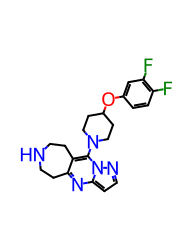 Fc1ccc(OC2CCN(c3c4c(nc5ccnn35)CCNCC4)CC2)cc1F